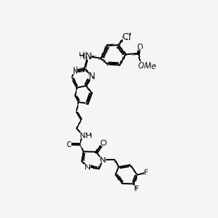 COC(=O)c1ccc(Nc2ncc3cc(/C=C/CNC(=O)c4cncn(Cc5ccc(F)c(F)c5)c4=O)ccc3n2)cc1Cl